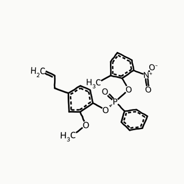 C=CCc1ccc(O[P@](=O)(Oc2c(C)cccc2[N+](=O)[O-])c2ccccc2)c(OC)c1